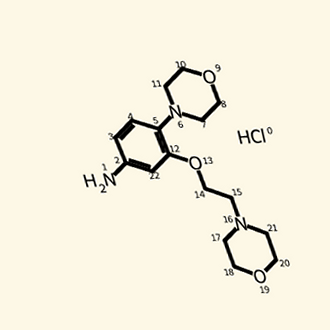 Cl.Nc1ccc(N2CCOCC2)c(OCCN2CCOCC2)c1